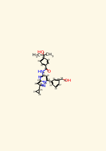 CC(C)(O)c1ccc(C(=O)Nc2cc(-c3cccc(CO)c3)n3nc(C4CC4)cc3n2)cc1